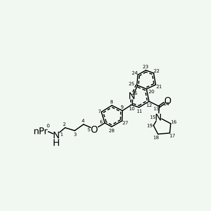 CCCNCCCOc1ccc(-c2cc(C(=O)N3CCCC3)c3ccccc3n2)cc1